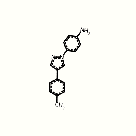 Cc1ccc(-c2cnn(-c3ccc(N)cc3)c2)cc1